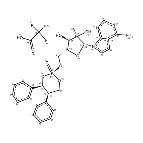 C[C@@]1(O)[C@H](O)[C@@H](CO[P@@]2(=O)OC[C@@H](c3ccccc3)[C@@H](c3ccccc3)O2)O[C@H]1n1ccc2c(N)ncnc21.O=C(O)C(F)(F)F